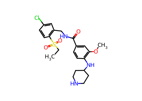 CCS(=O)(=O)c1ccc(Cl)cc1CNC(=O)c1ccc(NC2CCNCC2)c(OC)c1